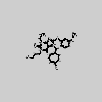 O=c1c2c(nc(Oc3cccc(OC(F)(F)F)c3)n2CC2=CCC=C(F)C=C2)n(CC(F)(F)F)c(=O)n1CCCO